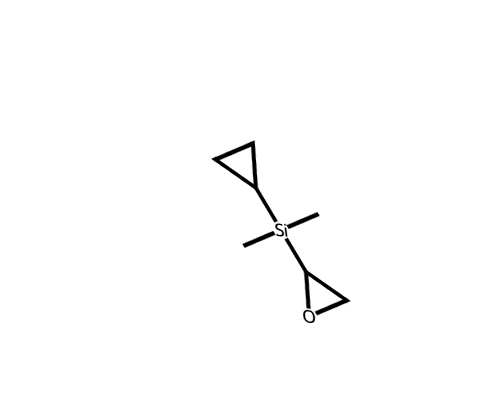 C[Si](C)(C1CC1)C1CO1